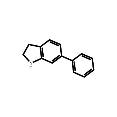 c1ccc(-c2ccc3c(c2)NCC3)cc1